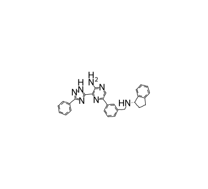 Nc1ncc(-c2cccc(CN[C@H]3CCc4ccccc43)c2)nc1-c1nc(-c2ccccc2)n[nH]1